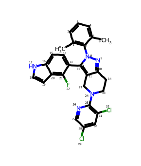 Cc1cccc(C)c1-n1nc2c(c1-c1ccc3[nH]ccc3c1F)CN(c1ncc(Cl)cc1Cl)CC2